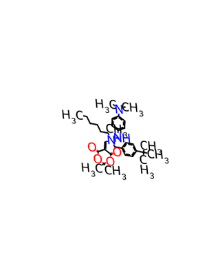 CCCCCC(C)[N+](C=C1C(=O)OC(C)(C)OC1=O)(Cc1ccc(C(C)(C)C)cc1)Nc1ccc(N(C)C)cc1